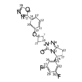 O=c1n2c(nn1[C@H]1C[C@H](Oc3cccc(-c4nnco4)c3)C1)CC[C@H]2c1cc(F)cc(F)c1